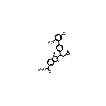 COC(=O)c1ccc2[nH]c(C(CC3CC3)c3ccc(-c4cc(Cl)ccc4N)cn3)nc2c1